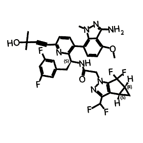 COc1ccc(-c2ccc(C#CC(C)(C)O)nc2[C@H](Cc2cc(F)cc(F)c2)NC(=O)Cn2nc(C(F)F)c3c2C(F)(F)[C@@H]2C[C@H]32)c2c1c(N)nn2C